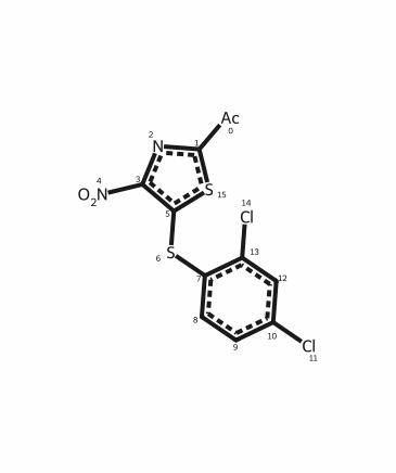 CC(=O)c1nc([N+](=O)[O-])c(Sc2ccc(Cl)cc2Cl)s1